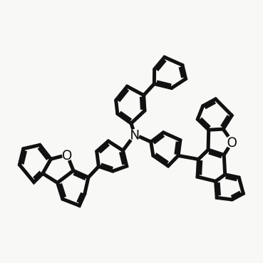 c1ccc(-c2cccc(N(c3ccc(-c4cccc5c4oc4ccccc45)cc3)c3ccc(-c4cc5ccccc5c5oc6ccccc6c45)cc3)c2)cc1